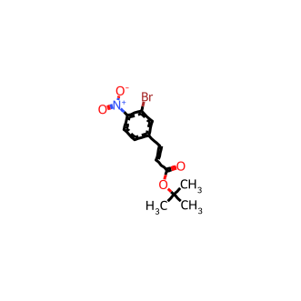 CC(C)(C)OC(=O)/C=C/c1ccc([N+](=O)[O-])c(Br)c1